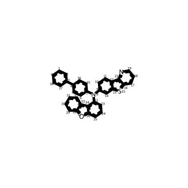 c1ccc(-c2ccc(N(c3ccc4c(c3)sc3cccnc34)c3cccc4oc5ccccc5c34)cc2)cc1